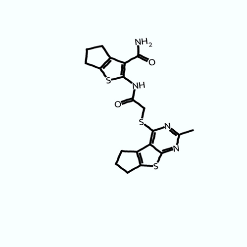 Cc1nc(SCC(=O)Nc2sc3c(c2C(N)=O)CCC3)c2c3c(sc2n1)CCC3